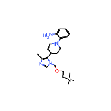 Cc1ncn(COCC[Si](C)(C)C)c1C1CCN(c2ccccc2N)CC1